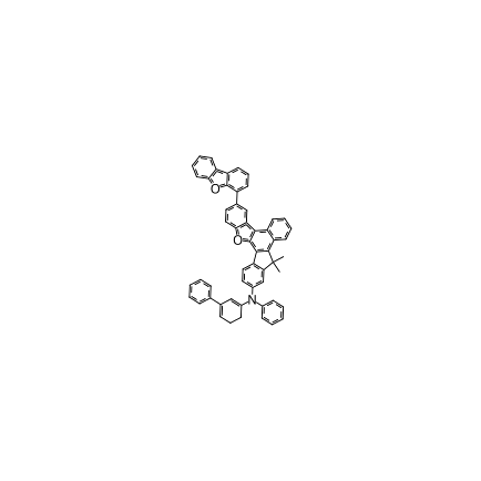 CC1(C)c2cc(N(C3=CC(c4ccccc4)=CCC3)c3ccccc3)ccc2-c2c1c1ccccc1c1c2oc2ccc(-c3cccc4c3oc3ccccc34)cc21